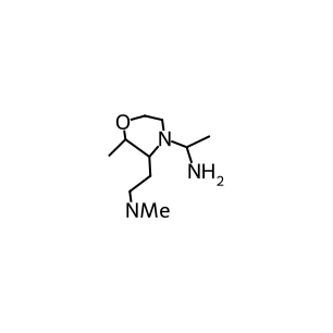 CNCCC1C(C)OCCN1C(C)N